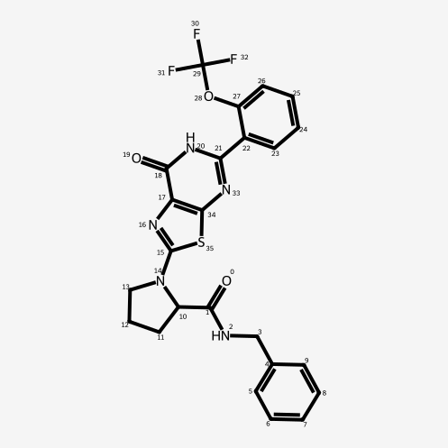 O=C(NCc1ccccc1)C1CCCN1c1nc2c(=O)[nH]c(-c3ccccc3OC(F)(F)F)nc2s1